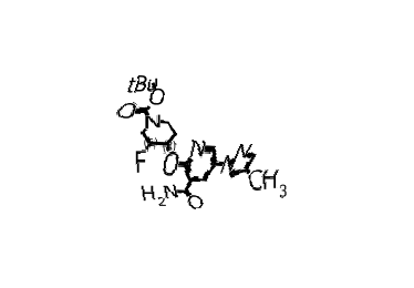 Cc1cnn(-c2cnc(O[C@@H]3CCN(C(=O)OC(C)(C)C)C[C@@H]3F)c(C(N)=O)c2)c1